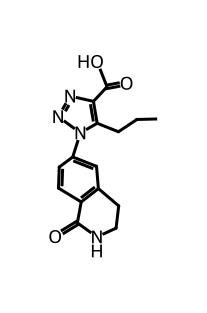 CCCc1c(C(=O)O)nnn1-c1ccc2c(c1)CCNC2=O